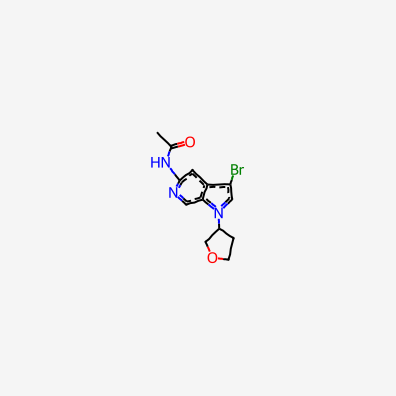 CC(=O)Nc1cc2c(Br)cn(C3CCOC3)c2cn1